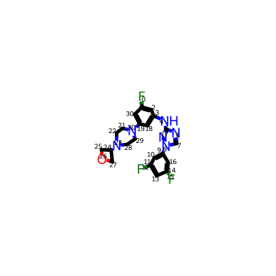 Fc1cc(Nc2ncn(-c3cc(F)cc(F)c3)n2)cc(N2CCN(C3COC3)CC2)c1